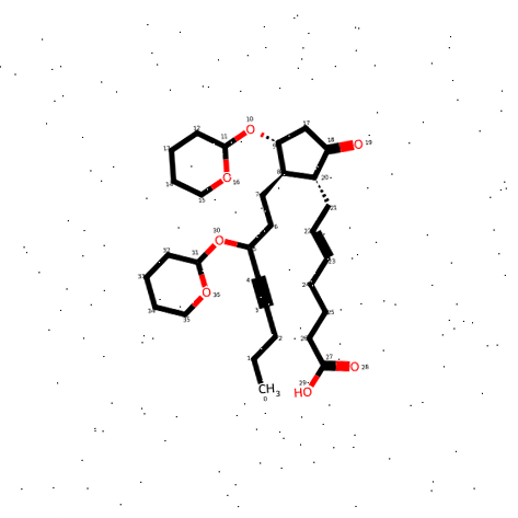 CCCC#CC(CC[C@H]1[C@H](OC2CCCCO2)CC(=O)[C@@H]1CC=CCCCC(=O)O)OC1CCCCO1